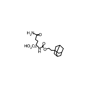 NC(=O)CC[C@H](NC(=O)OCCC12CC3CC(CC(C3)C1)C2)C(=O)O